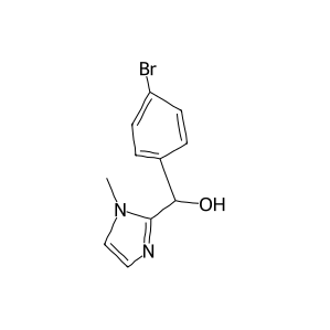 Cn1ccnc1C(O)c1ccc(Br)cc1